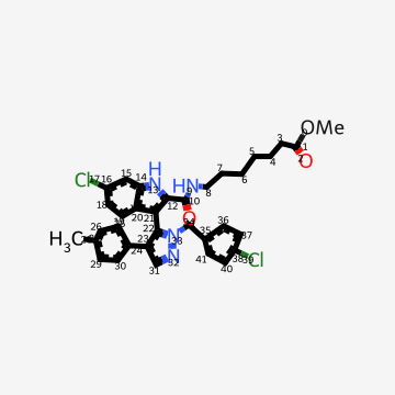 COC(=O)CCCCCCNC(=O)c1[nH]c2cc(Cl)ccc2c1-c1c(-c2ccc(C)cc2)cnn1Cc1ccc(Cl)cc1